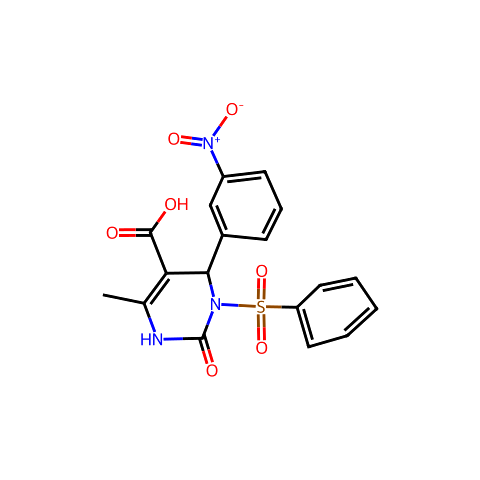 CC1=C(C(=O)O)C(c2cccc([N+](=O)[O-])c2)N(S(=O)(=O)c2ccccc2)C(=O)N1